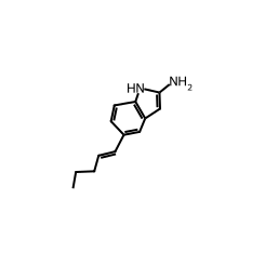 CCC/C=C/c1ccc2[nH]c(N)cc2c1